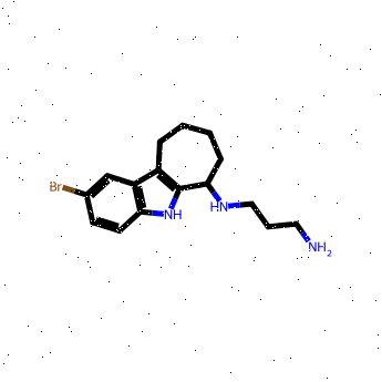 NCCCNC1CCCCc2c1[nH]c1ccc(Br)cc21